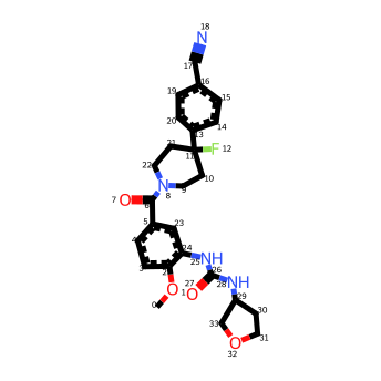 COc1ccc(C(=O)N2CCC(F)(c3ccc(C#N)cc3)CC2)cc1NC(=O)NC1CCOC1